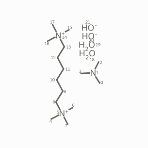 CN(C)C.C[N+](C)(C)CCCCCC[N+](C)(C)C.O.O.[OH-].[OH-]